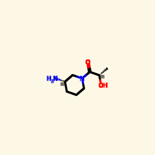 C[C@H](O)C(=O)N1CCC[C@H](N)C1